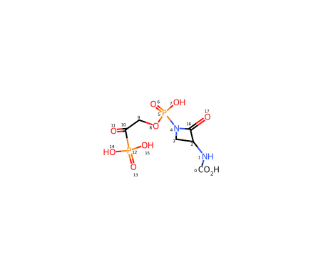 O=C(O)NC1CN(P(=O)(O)OCC(=O)P(=O)(O)O)C1=O